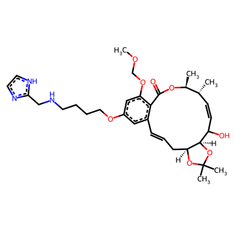 COCOc1cc(OCCCCNCc2ncc[nH]2)cc2c1C(=O)O[C@@H](C)[C@H](C)/C=C\C(O)[C@H]1OC(C)(C)O[C@H]1C/C=C/2